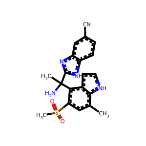 Cc1cc(S(C)(=O)=O)c(C(C)(N)c2nc3cc(C#N)ccc3[nH]2)c2cc[nH]c12